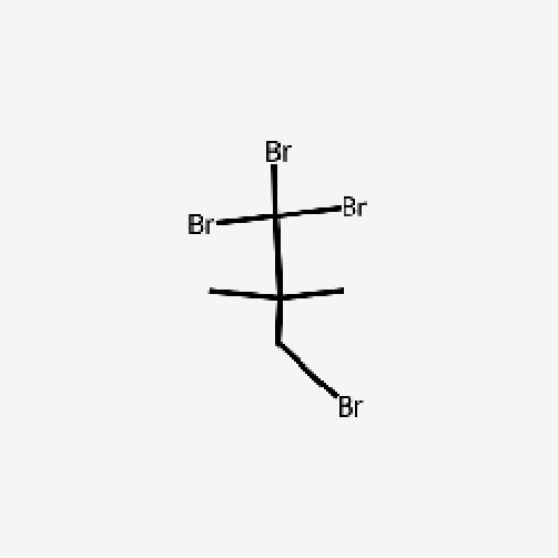 CC(C)(CBr)C(Br)(Br)Br